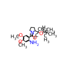 COc1cc(N)c(C(=O)N2CCCC2C(C)(C)O[SiH2]C(C)(C)C)cc1OC